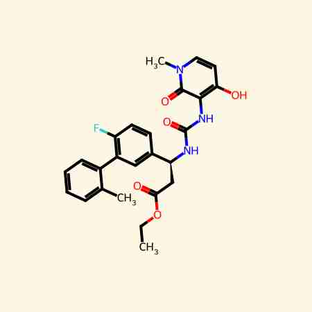 CCOC(=O)C[C@H](NC(=O)Nc1c(O)ccn(C)c1=O)c1ccc(F)c(-c2ccccc2C)c1